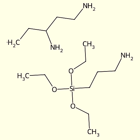 CCO[Si](CCCN)(OCC)OCC.[CH2]CC(N)CCN